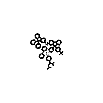 CC(C)CC(c1ccc(Oc2ccc(C3(c4ccc(C(C)(C)C)cc4)c4ccccc4-c4ccc(N(c5ccc(-c6ccccc6)cc5)c5ccc6c(c5)C(c5ccccc5)(c5ccccc5)c5ccccc5-6)cc43)cc2)cc1)C(C)C